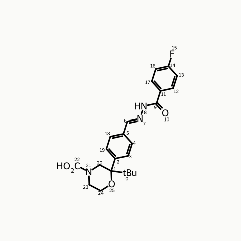 CC(C)(C)C1(c2ccc(C=NNC(=O)c3ccc(F)cc3)cc2)CN(C(=O)O)CCO1